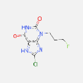 O=c1[nH]c(=O)n(CCCF)c2nc(Cl)[nH]c12